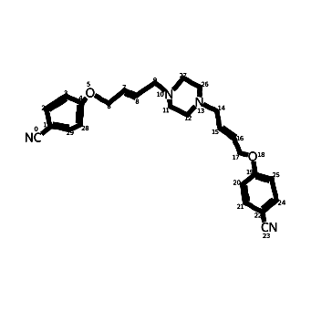 N#Cc1ccc(OCC=CCN2CCN(CC=CCOc3ccc(C#N)cc3)CC2)cc1